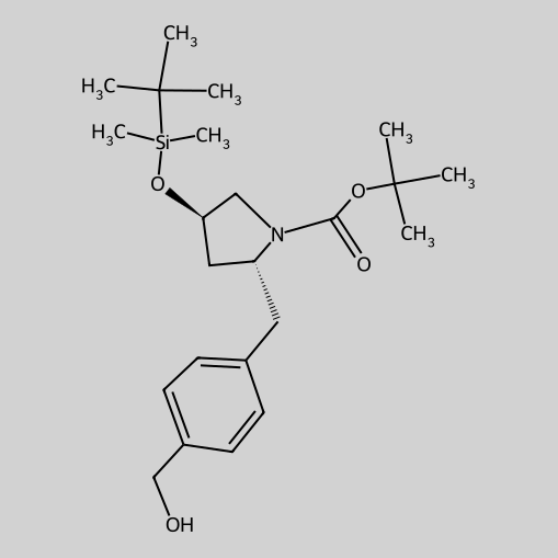 CC(C)(C)OC(=O)N1C[C@H](O[Si](C)(C)C(C)(C)C)C[C@H]1Cc1ccc(CO)cc1